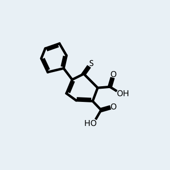 O=C(O)C1=CC=C(c2ccccc2)C(=S)C1C(=O)O